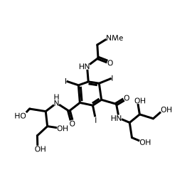 CNCC(=O)Nc1c(I)c(C(=O)NC(CO)C(O)CO)c(I)c(C(=O)NC(CO)C(O)CO)c1I